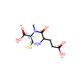 CN(C(=O)C(N)CCC(=O)O)[C@@H](CS)C(=O)O